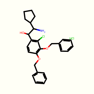 Cl.NC(C1CCCC1)C(O)c1ccc(OCc2ccccc2)c(OCc2ccccc2)c1Cl